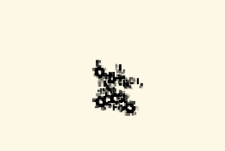 C[S+]([O-])CC(C)(C)c1cc(NC(=O)NCc2ccccc2Sc2ccc3nnc(-c4ccccc4O)n3c2)n(-c2cccc(F)c2)n1